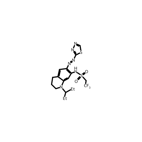 CCC(CC)N1CCCc2cc(N=Nc3nncs3)c(NS(=O)(=O)CC(F)(F)F)cc21